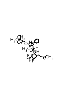 COCCCc1cc(F)c(C(F)(F)F)cc1NC(=O)Nc1c(C)c(OCC2COC(C)(C)O2)nn1-c1ccccc1